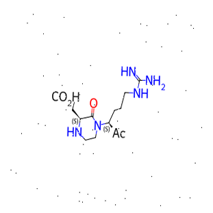 CC(=O)[C@H](CCCNC(=N)N)N1CCN[C@@H](CC(=O)O)C1=O